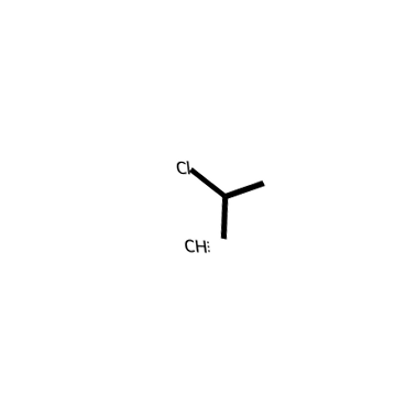 CC(C)Cl.[CH]